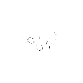 COC1(C)CCC2(CC1)NC(=O)C(c1cc(-c3ccc(Cl)c(F)c3)ccc1C)=C2O